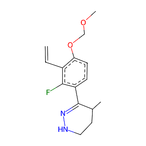 C=Cc1c(OCOC)ccc(C2=NNCCC2C)c1F